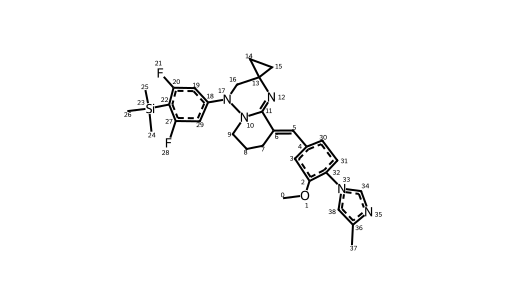 COc1cc(/C=C2\CCCN3C2=NC2(CC2)CN3c2cc(F)c([Si](C)(C)C)c(F)c2)ccc1-n1cnc(C)c1